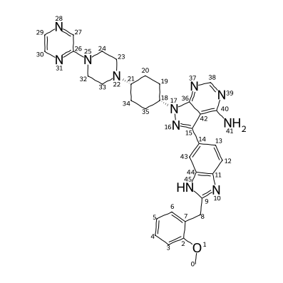 COc1ccccc1Cc1nc2ccc(-c3nn([C@H]4CC[C@@H](N5CCN(c6cnccn6)CC5)CC4)c4ncnc(N)c34)cc2[nH]1